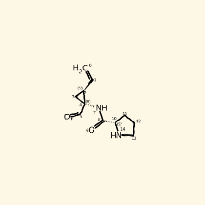 C=C[C@@H]1C[C@@]1(C=O)NC(=O)[C@@H]1CCCN1